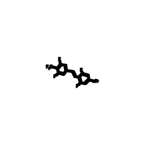 CCCc1cc(F)c(/C=C/c2cc(F)c(C(F)(F)F)c(F)c2)c(F)c1